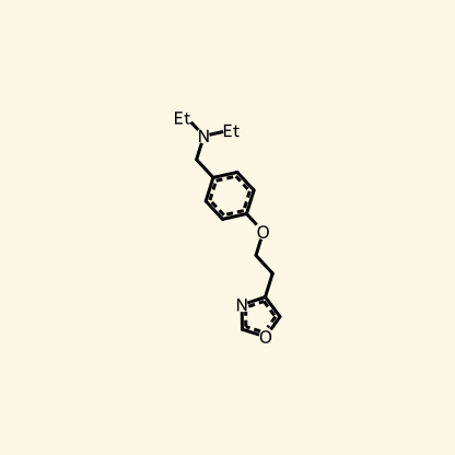 CCN(CC)Cc1ccc(OCCc2cocn2)cc1